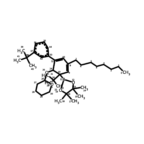 CCCCCCCCC1=CC(B2OC(C)(C)C(C)(C)O2)(C(C)(C)C)C(OC2CCCCO2)C(c2cccc(C(C)(C)C)c2)=C1